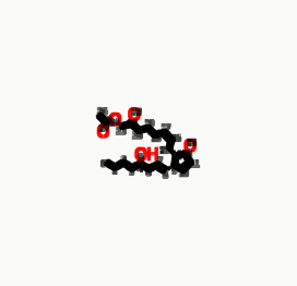 CCCCC(O)C/C=C/[C@H]1C=CC(=O)[C@@H]1C/C=C\CCCC(=O)COC(C)=O